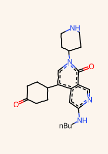 CCCCNc1cc2c(C3CCC(=O)CC3)cn(C3CCNCC3)c(=O)c2cn1